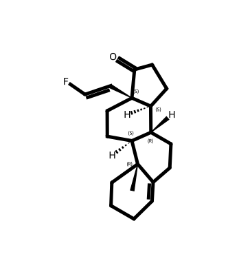 C[C@]12CCCC=C1CC[C@@H]1[C@@H]2CC[C@]2(C=CF)C(=O)CC[C@@H]12